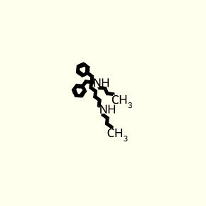 CCCCCNCCCCCC(Cc1ccccc1)(Cc1ccccc1)NCCCCC